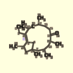 CC/C1=C2/CC(C)(CC(C)CC(C)C(=O)CCC(C)CC1C)CC2C